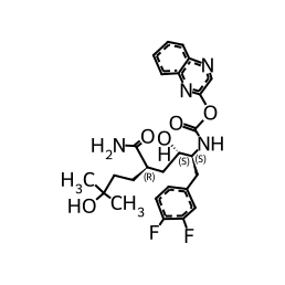 CC(C)(O)CC[C@H](C[C@H](O)[C@H](Cc1ccc(F)c(F)c1)NC(=O)Oc1cnc2ccccc2n1)C(N)=O